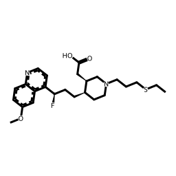 CCSCCCN1CC[C@@H](CC[C@@H](F)c2ccnc3ccc(OC)cc23)[C@@H](CC(=O)O)C1